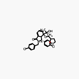 CC(C)(O)C1(OCC2CCOC2)C=CC=C2C(=O)N(Cc3ccc(Cl)cc3)[C@@H](c3ccc(Cl)cc3)C21